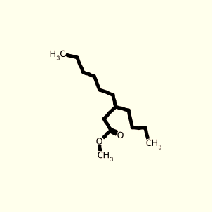 CCCCCCC(CCCC)CC(=O)OC